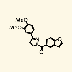 COc1ccc(C2=NN(C(=O)c3ccc4occc4c3)CC2)cc1OC